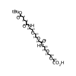 CC(C)(C)OC(=O)CCCC(=O)NCCOCCOCC(=O)NCCOCCOCC(=O)O